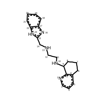 c1cnc2c(c1)CCCC2NCCNCc1nc2ccccc2[nH]1